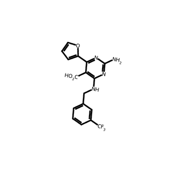 Nc1nc(NCc2cccc(C(F)(F)F)c2)c(C(=O)O)c(-c2ccco2)n1